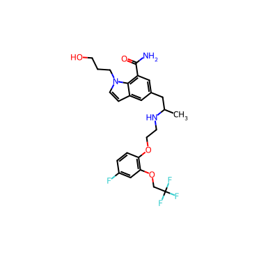 CC(Cc1cc(C(N)=O)c2c(ccn2CCCO)c1)NCCOc1ccc(F)cc1OCC(F)(F)F